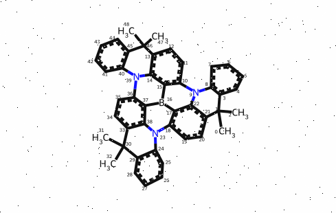 CC1(C)c2ccccc2N2c3ccc4c5c3B3c6c(ccc1c62)N1c2ccccc2C(C)(C)c2ccc(c3c21)N5c1ccccc1C4(C)C